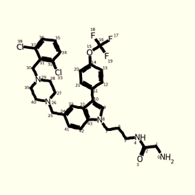 NCC(=O)NCCCn1cc(-c2ccc(OC(F)(F)F)cc2)c2cc(CN3CCN(Cc4c(Cl)cccc4Cl)CC3)ccc21